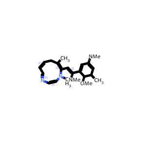 CNC1=CC(C)C(OC)C(/C(=C/C2=C(\C)C\C=C/C=N/C=C\N2C)NC)=C1